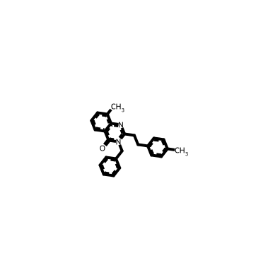 Cc1ccc(CCc2nc3c(C)cccc3c(=O)n2Cc2ccccc2)cc1